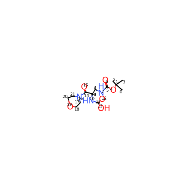 CC(C)(C)OC(=O)NC[C@@H](NC(=O)O)C(=O)N1CCOCC1